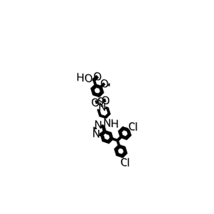 COc1cc(S(=O)(=O)N2CCC(Nc3ncnc4ccc(C(c5ccc(Cl)cc5)c5ccc(Cl)cc5)cc34)CC2)ccc1C(=O)O